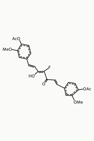 COc1cc(/C=C/C(=O)/C(F)=C(O)/C=C/c2ccc(OC(C)=O)c(OC)c2)ccc1OC(C)=O